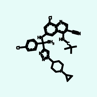 BC(Nc1cc(Cl)c2ncc(C#N)c(NCC(C)(C)C)c2c1)(c1ccc(Cl)cc1)c1cn(C2CCN(C3CC3)CC2)nn1